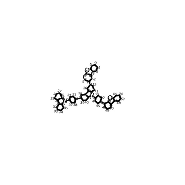 c1ccc2c(c1)oc1ccc(-c3ccc4c(c3)c3cc(-c5ccc(-n6c7ccccc7c7ccccc76)cc5)ccc3n4-c3ccc(-c4cccc5c4oc4ccccc45)cc3)cc12